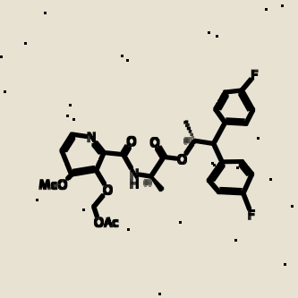 COc1ccnc(C(=O)N[C@H](C)C(=O)O[C@H](C)C(c2ccc(F)cc2)c2ccc(F)cc2)c1OCOC(C)=O